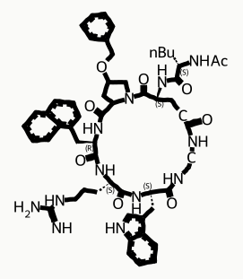 CCCC[C@H](NC(C)=O)C(=O)N[C@H]1CCC(=O)NCCNC(=O)[C@H](Cc2c[nH]c3ccccc23)NC(=O)[C@H](CCCNC(=N)N)NC(=O)[C@@H](Cc2cccc3ccccc23)NC(=O)C2CC(OCc3ccccc3)CN2C1=O